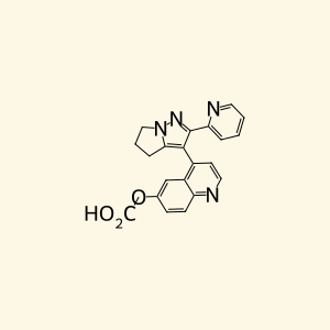 O=C(O)Oc1ccc2nccc(-c3c(-c4ccccn4)nn4c3CCC4)c2c1